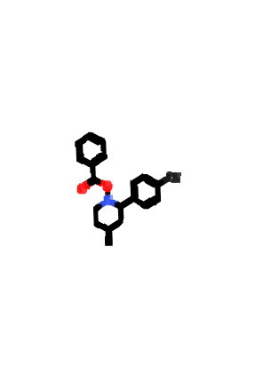 C=C1CCN(OC(=O)c2ccccc2)C(c2ccc(C#N)cc2)C1